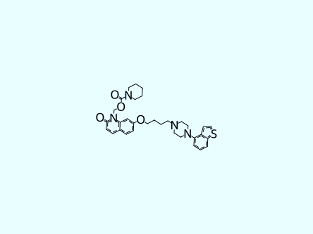 O=C(OCn1c(=O)ccc2ccc(OCCCCN3CCN(c4cccc5sccc45)CC3)cc21)N1CCCCC1